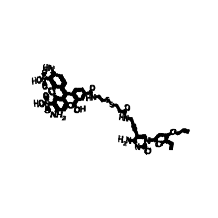 C=CCOC1CC(n2cc(C#CCNC(=O)CCSSCCNC(=O)c3ccc(-c4c5ccc(=N)c(S(=O)(=O)O)c-5oc5c(S(=O)(=O)O)c(N)ccc45)c(C(=O)O)c3)c(N)nc2=O)OC1CC